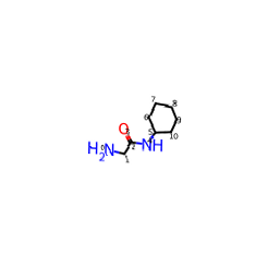 NCC(=O)NC1CCCCC1